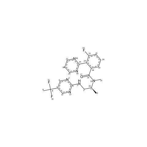 C[C@@H](CNc1ncc(C(C)(F)F)cn1)N(C)C(=O)c1cccc(F)c1-c1ncccn1